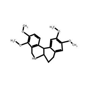 COc1cc2c(cc1OC)C1c3ccc(OC)c(OC)c3CNC1CC2